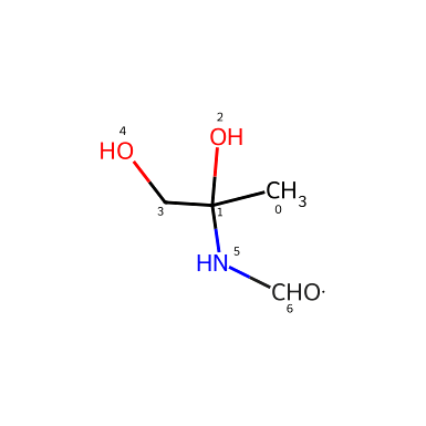 CC(O)(CO)N[C]=O